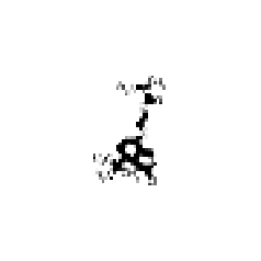 CN(C)C(=O)OCCOc1ccc(C(C)(C)N)c2cc(Cl)ncc12